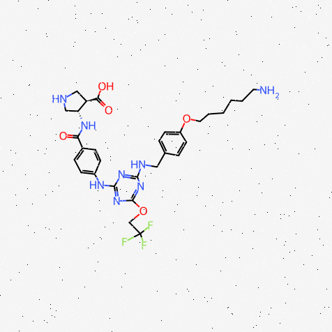 NCCCCCCOc1ccc(CNc2nc(Nc3ccc(C(=O)N[C@@H]4CNC[C@H]4C(=O)O)cc3)nc(OCC(F)(F)F)n2)cc1